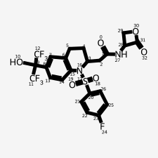 O=C(CC1CCc2cc(C(O)(C(F)(F)F)C(F)(F)F)ccc2N1S(=O)(=O)c1ccc(F)cc1)NC1COC1=O